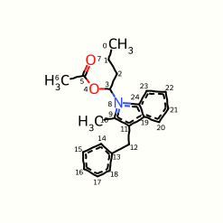 CCCC(OC(C)=O)n1c(C)c(Cc2ccccc2)c2ccccc21